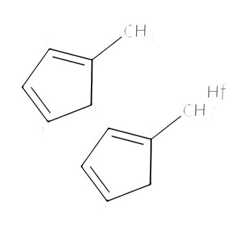 CC1=CC=CC1.CC1=CC=CC1.[Hf]